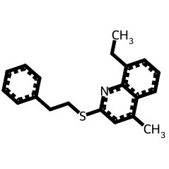 CCc1cccc2c(C)cc(SCCc3ccccc3)nc12